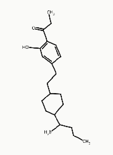 BC(CCC)C1CCC(CCc2ccc(C(=O)CC)c(O)c2)CC1